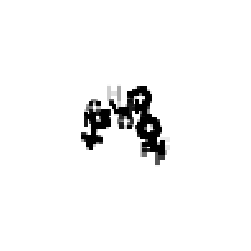 CC(C)(C)c1cc(NC(=O)N2CCCC2c2ccc(C(F)(F)F)cc2)on1